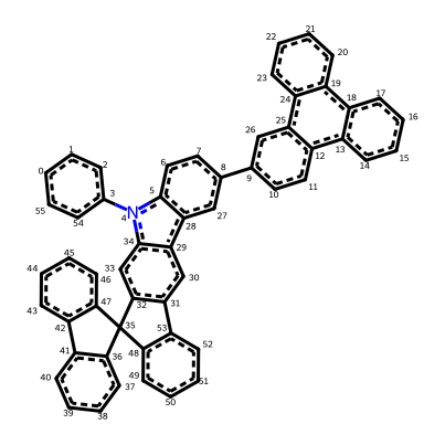 c1ccc(-n2c3ccc(-c4ccc5c6ccccc6c6ccccc6c5c4)cc3c3cc4c(cc32)C2(c3ccccc3-c3ccccc32)c2ccccc2-4)cc1